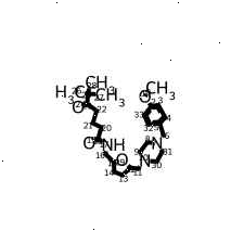 COc1ccc(CN2CCN(CC3CCC(CNC(=O)CCCC(=O)C(C)(C)C)O3)CC2)cc1